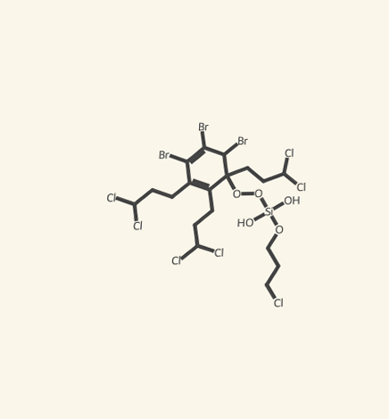 O[Si](O)(OCCCCl)OOC1(CCC(Cl)Cl)C(CCC(Cl)Cl)=C(CCC(Cl)Cl)C(Br)=C(Br)C1Br